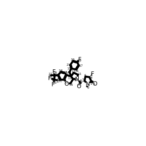 CN1C(=O)[C@@H](F)C[C@H]1C(=O)N1CCC2(Cc3ccc(F)cc3)c3ccc(C(C)(F)C(F)(F)F)cc3OCC12